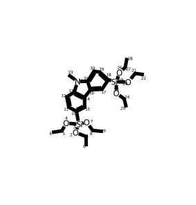 CCO[Si](OCC)(OCC)c1ccc2c(c1)c1cc([Si](OCC)(OCC)OCC)ccc1n2C